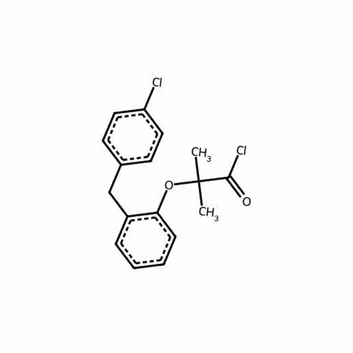 CC(C)(Oc1ccccc1Cc1ccc(Cl)cc1)C(=O)Cl